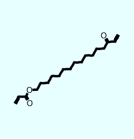 C=CC(=O)CCCCCCCCCCCCCOC(=O)C=C